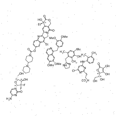 CCc1c2c(nc3ccc(OC(=O)N4CCC(N5CCCCC5)CC4)cc13)-c1cc3c(c(=O)n1C2)COC(=O)[C@]3(O)CC.COc1ccc(Cc2nccc3cc(OC)c(OC)cc23)cc1OC.Cc1cc(C(C)(C)C)c(O)c(C)c1CC1=NCCN1.Cc1cccc(Nc2cc(Cl)nc(SCC(=O)O)n2)c1C.Nc1ccn([C@@H]2O[C@H](CO)[C@@H](O)C2(F)F)c(=O)n1.O=C1O[C@H]([C@H](O)CO)C(O)=C1O